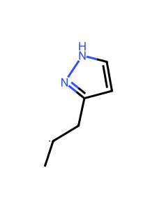 C[CH]Cc1cc[nH]n1